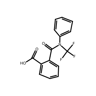 O=C(O)c1ccccc1C(=O)N(c1ccccc1)C(F)(F)F